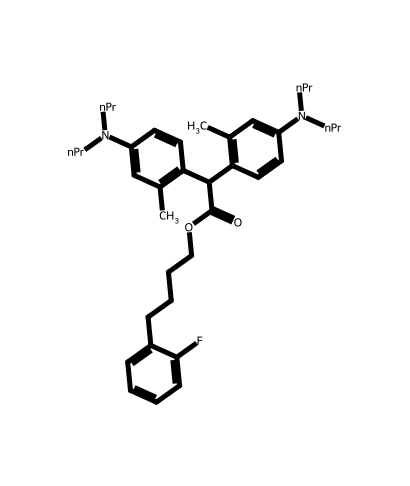 CCCN(CCC)c1ccc(C(C(=O)OCCCCc2ccccc2F)c2ccc(N(CCC)CCC)cc2C)c(C)c1